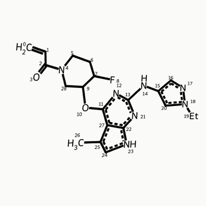 C=CC(=O)N1CCC(F)C(Oc2nc(Nc3cnn(CC)c3)nc3[nH]cc(C)c23)C1